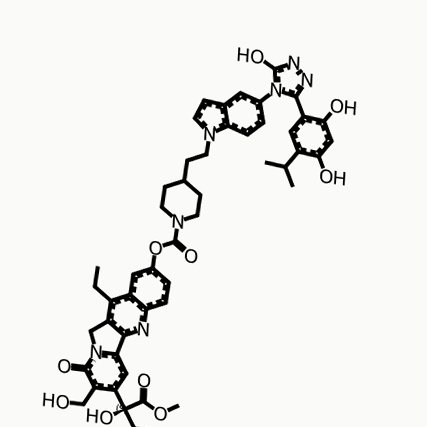 CCc1c2c(nc3ccc(OC(=O)N4CCC(CCn5ccc6cc(-n7c(O)nnc7-c7cc(C(C)C)c(O)cc7O)ccc65)CC4)cc13)-c1cc([C@@](O)(CC)C(=O)OC)c(CO)c(=O)n1C2